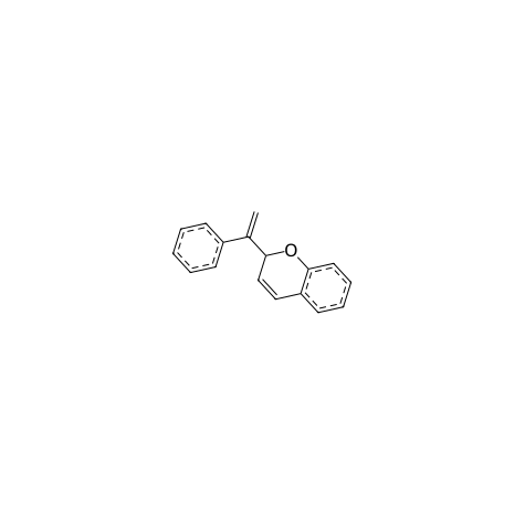 C=C(c1ccccc1)C1C=Cc2ccccc2O1